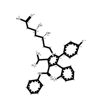 CC(C)c1c(C(=O)Nc2ccccc2)c(-c2ccccc2N)c(-c2ccc(F)cc2)n1CC[C@@H](O)C[C@@H](O)CC(=O)O